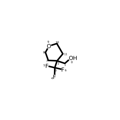 OCC1(C(F)(F)F)CCOCC1